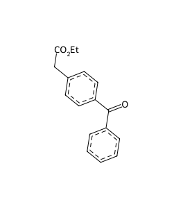 CCOC(=O)Cc1ccc(C(=O)c2ccccc2)cc1